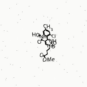 COC(=O)CCCN1C=C(C(=O)NO)C(c2ccc(C)cc2Cl)NS1(=O)=O